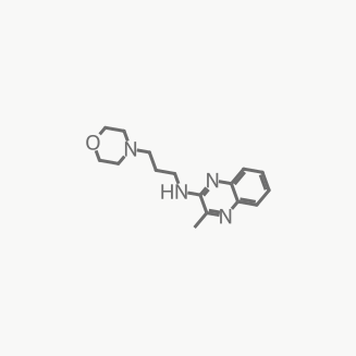 Cc1nc2ccccc2nc1NCCCN1CCOCC1